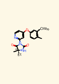 CC[C@]1(C)NC(=O)N(c2cc(Oc3ccc(C)c(OC)c3)ccn2)C1=O